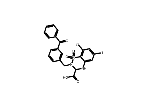 O=C(c1ccccc1)c1cccc(CN2C(C(=O)O)Nc3cc(Cl)cc(Cl)c3S2(=O)=O)c1